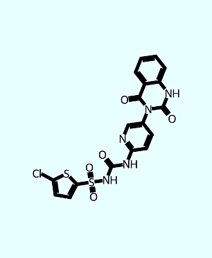 O=C(Nc1ccc(-n2c(=O)[nH]c3ccccc3c2=O)cn1)NS(=O)(=O)c1ccc(Cl)s1